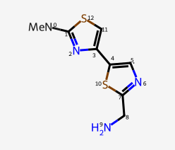 CNc1nc(-c2[c]nc(CN)s2)cs1